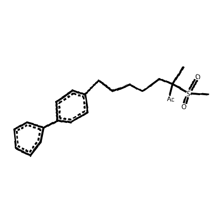 CC(=O)C(C)(CCCCCc1ccc(-c2ccccc2)cc1)S(C)(=O)=O